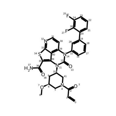 C=CC(=O)N1C[C@@H](OC)C[C@@H](N2C(=O)N(c3cccc(-c4cccc(F)c4F)c3)c3ccnc4sc(C(N)=O)c2c34)C1